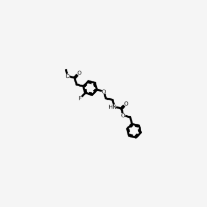 COC(=O)Cc1ccc(OCCNC(=O)OCc2ccccc2)cc1F